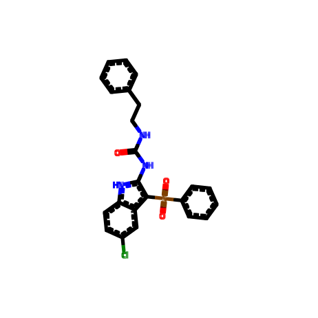 O=C(NCCc1ccccc1)Nc1[nH]c2ccc(Cl)cc2c1S(=O)(=O)c1ccccc1